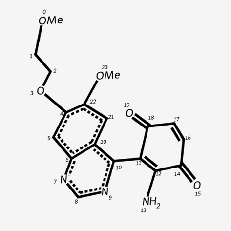 COCCOc1cc2ncnc(C3=C(N)C(=O)C=CC3=O)c2cc1OC